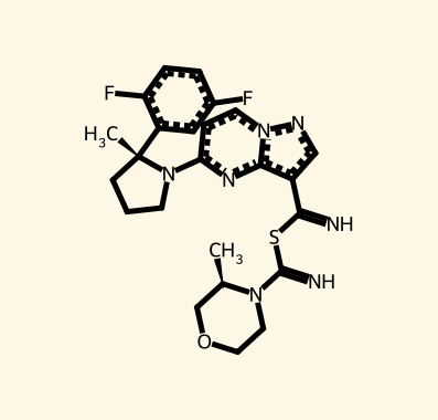 C[C@@H]1COCCN1C(=N)SC(=N)c1cnn2ccc(N3CCC[C@]3(C)c3cc(F)ccc3F)nc12